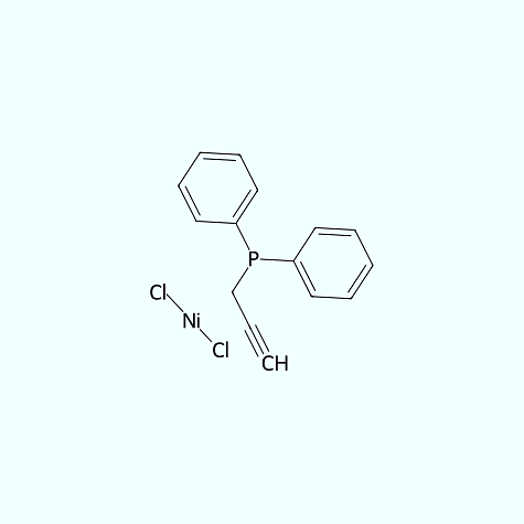 C#CCP(c1ccccc1)c1ccccc1.[Cl][Ni][Cl]